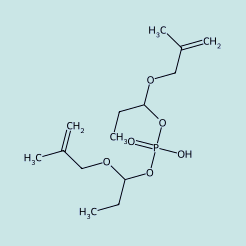 C=C(C)COC(CC)OP(=O)(O)OC(CC)OCC(=C)C